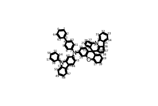 c1ccc(-c2ccc(N(c3ccc4c(c3)Oc3ccccc3C43c4ccccc4-n4c5ccccc5c5cccc3c54)c3ccc4c5ccccc5n(-c5ccccc5)c4c3)cc2)cc1